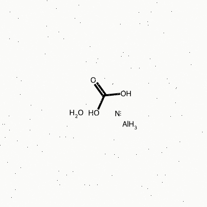 O.O=C(O)O.[AlH3].[N]